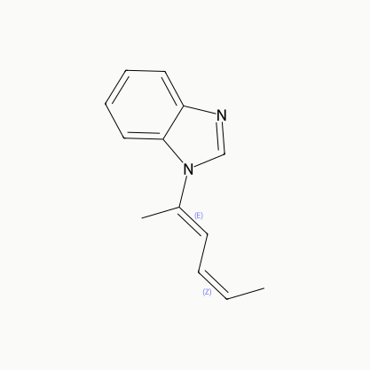 C/C=C\C=C(/C)n1cnc2ccccc21